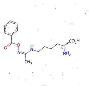 CC(=NOC(=O)c1ccccc1)NCCCC[C@H](N)C(=O)O